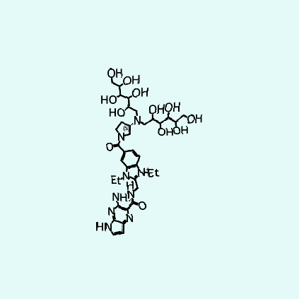 CCn1c(CNC(=O)c2nc3cc[nH]c3nc2N)[n+](CC)c2ccc(C(=O)N3CC[C@H](N(CC(O)C(O)C(O)C(O)CO)CC(O)C(O)C(O)C(O)CO)C3)cc21